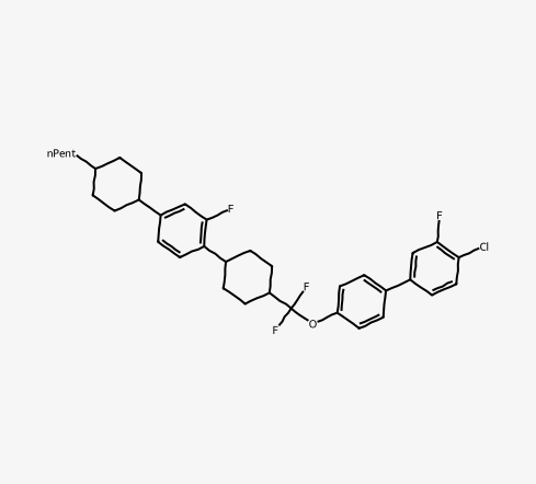 CCCCCC1CCC(c2ccc(C3CCC(C(F)(F)Oc4ccc(-c5ccc(Cl)c(F)c5)cc4)CC3)c(F)c2)CC1